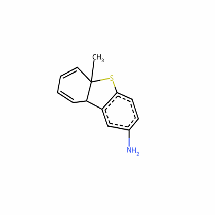 CC12C=CC=CC1c1cc(N)ccc1S2